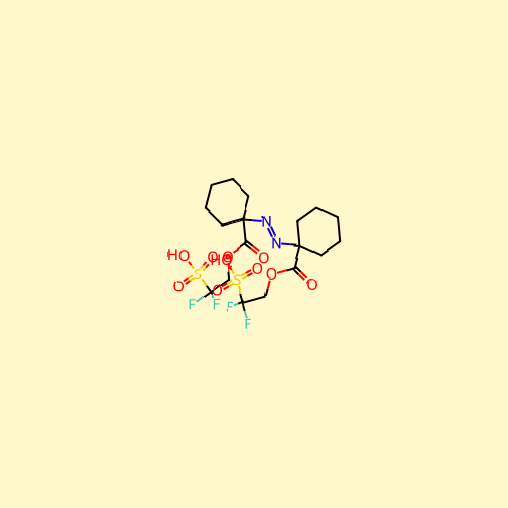 O=C(OCC(F)(F)S(=O)(=O)O)C1(N=NC2(C(=O)OCC(F)(F)S(=O)(=O)O)CCCCC2)CCCCC1